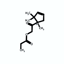 CCC(=O)OCC(=O)[C@@]1(C)CC=CC1(C)C